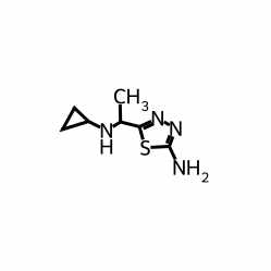 CC(NC1CC1)c1nnc(N)s1